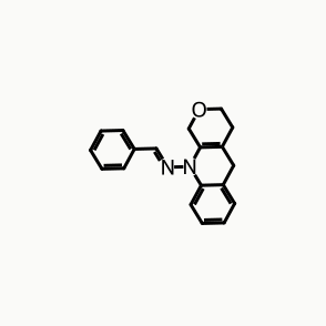 C(=NN1C2=C(CCOC2)Cc2ccccc21)c1ccccc1